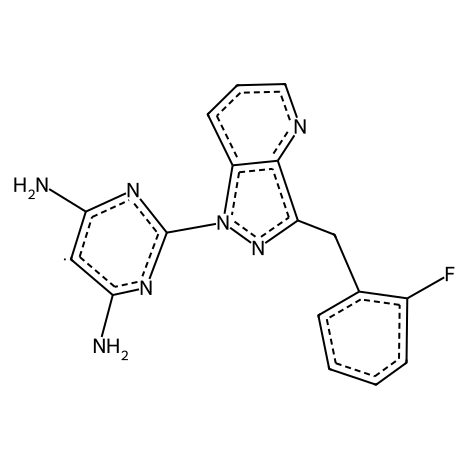 Nc1[c]c(N)nc(-n2nc(Cc3ccccc3F)c3ncccc32)n1